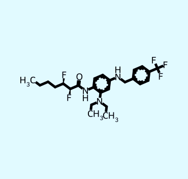 CCCC[C@@H](F)[C@H](F)C(=O)Nc1ccc(NCc2ccc(C(F)(F)F)cc2)cc1N(CC)CC